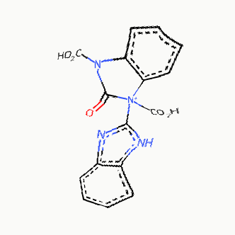 O=C(O)N1C(=O)[N+](C(=O)O)(c2nc3ccccc3[nH]2)c2ccccc21